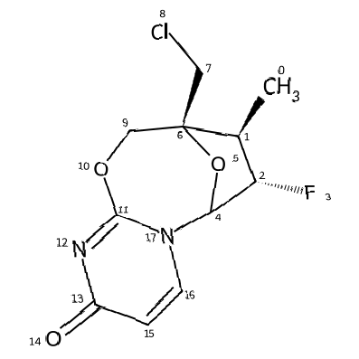 C[C@H]1[C@H](F)C2O[C@]1(CCl)COc1nc(=O)ccn12